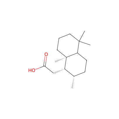 C[C@H]1CCC2C(C)(C)CCC[C@]2(C)[C@H]1CC(=O)O